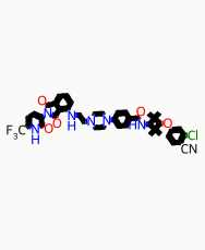 CC1(C)C(NC(=O)c2ccc(N3CCN(CCNc4cccc5c4C(=O)N(c4ccc(C(F)(F)F)[nH]c4=O)C5=O)CC3)cc2)C(C)(C)C1Oc1ccc(C#N)c(Cl)c1